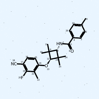 Cc1ccc(C(=O)N[C@H]2C(C)(C)[C@H](Oc3ccc(C#N)c(F)c3C)C2(C)C)cc1